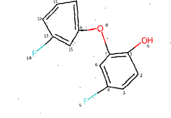 Oc1ccc(F)cc1Oc1cccc(F)c1